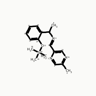 Cc1cnc(/C=N/C(C)c2ccccc2O[Si](C)(C)C)cn1